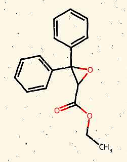 CCOC(=O)C1OC1(c1ccccc1)c1ccccc1